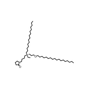 CCCCCCCCCCCCCCCCCCOCCC[N+](CC)(CCCCCCCCCCCCCCCC)CCCCN1CCCC1=O